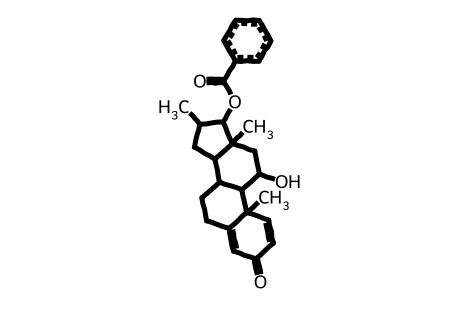 CC1CC2C3CCC4=CC(=O)C=CC4(C)C3C(O)CC2(C)C1OC(=O)c1ccccc1